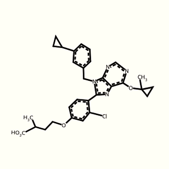 CC(CCOc1ccc(-c2nc3c(OC4(C)CC4)ncnc3n2Cc2cccc(C3CC3)c2)c(Cl)c1)C(=O)O